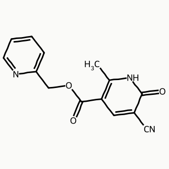 Cc1[nH]c(=O)c(C#N)cc1C(=O)OCc1ccccn1